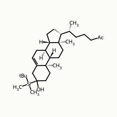 CC(=O)CCC[C@@H](C)[C@H]1CC[C@H]2[C@@H]3CC=C4CC(O)([Si](C)(C)C(C)(C)C)CC[C@]4(C)[C@H]3CC[C@]12C